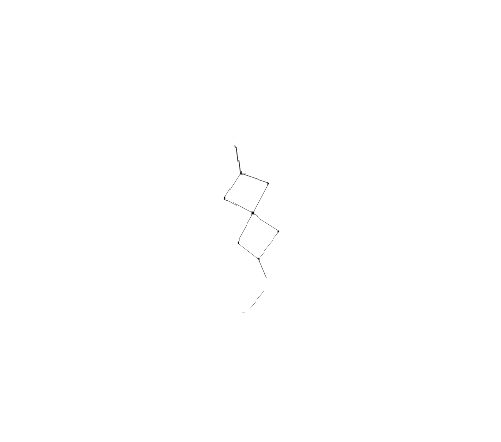 CC(=O)C1CC2(CC(OC(C)(C)C)C2)C1